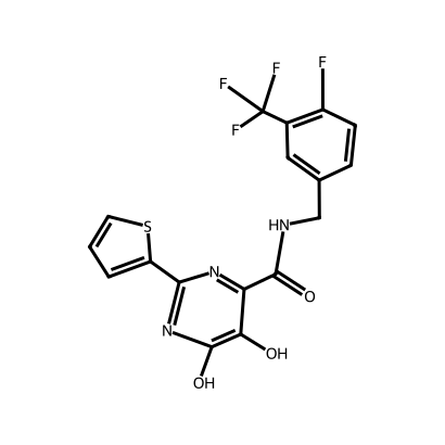 O=C(NCc1ccc(F)c(C(F)(F)F)c1)c1nc(-c2cccs2)nc(O)c1O